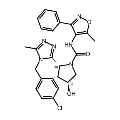 Cc1onc(-c2ccccc2)c1NC(=O)N1C[C@@H](O)C[C@@H]1c1nnc(C)n1Cc1ccc(Cl)cc1